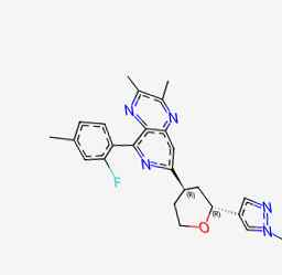 Cc1ccc(-c2nc([C@@H]3CCO[C@@H](c4cnn(C)c4)C3)cc3nc(C)c(C)nc23)c(F)c1